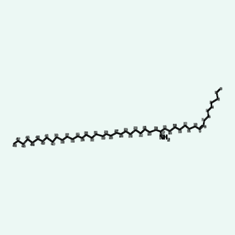 CCCCCCCC/C=C\CCCCCCCC(N)CCCCCCCCCCCCCCCCCCCCCCCCCCCCCC